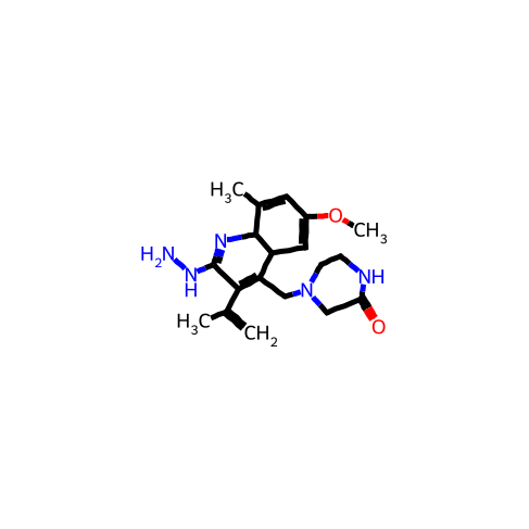 C=C(C)C1=C(CN2CCNC(=O)C2)C2C=C(OC)C=C(C)C2N=C1NN